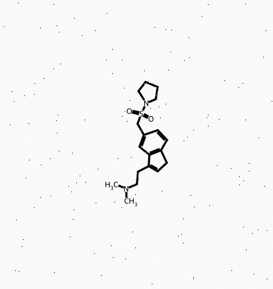 CN(C)CCC1=CCc2ccc(CS(=O)(=O)N3CCCC3)cc21